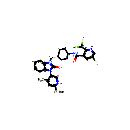 CC(=O)Nc1cc(C)c(-n2c(=O)n(C[C@H]3CC[C@H](NC(=O)c4cc(Cl)cnc4C(F)F)CC3)c3ccccc32)cn1